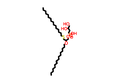 CCCCCCC=CCCCCCCCCOC(COP(=O)(O)CCC(O)CO)CSCCCCCCCCCCCCCCCC